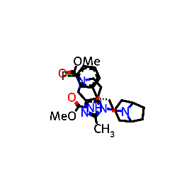 COC(=O)N[C@@H](CCN1C2CCC1CC(n1c(C)nc3c1CCN(C(=O)OC)C3)C2)c1cccc(F)c1